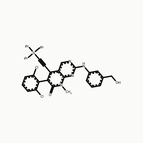 CC(C)[Si](C#Cc1c(-c2c(Cl)cccc2Cl)c(=O)n(C)c2nc(Nc3cccc(CO)c3)ncc12)(C(C)C)C(C)C